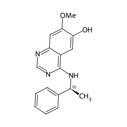 COc1cc2ncnc(N[C@@H](C)c3ccccc3)c2cc1O